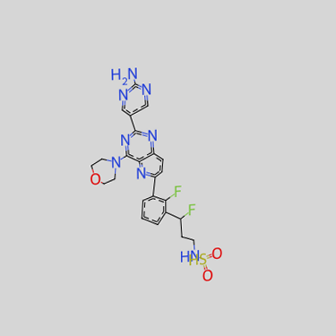 Nc1ncc(-c2nc(N3CCOCC3)c3nc(-c4cccc(C(F)CCN[SH](=O)=O)c4F)ccc3n2)cn1